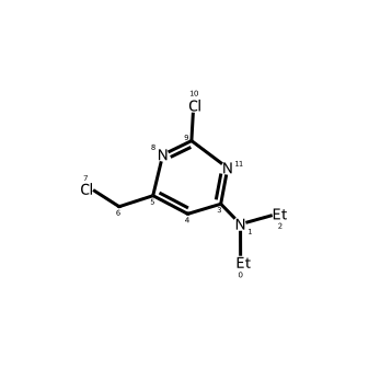 CCN(CC)c1cc(CCl)nc(Cl)n1